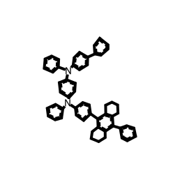 c1ccc(-c2ccc(N(c3ccccc3)c3ccc(N(c4ccccc4)c4ccc(-c5c6c(c(-c7ccccc7)c7c5CCCC7)CCCC6)cc4)cc3)cc2)cc1